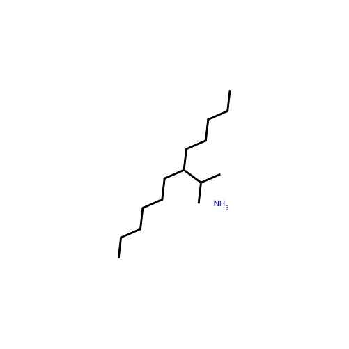 CCCCCCC(CCCCC)C(C)C.N